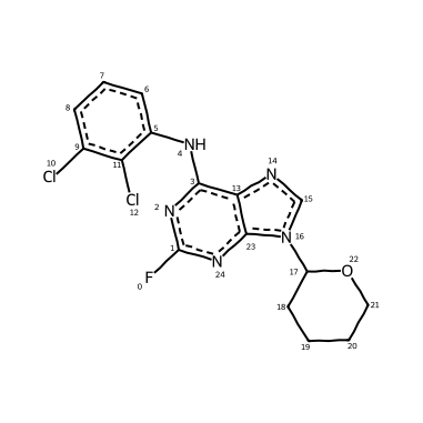 Fc1nc(Nc2cccc(Cl)c2Cl)c2ncn(C3CCCCO3)c2n1